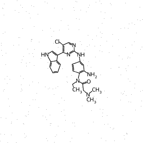 CCN(C(=O)CN(C)C)c1ccc(Nc2ncc(Cl)c(-c3c[nH]c4ccccc34)n2)cc1N